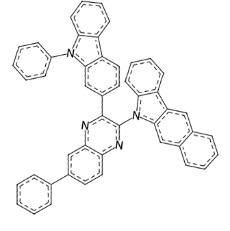 c1ccc(-c2ccc3nc(-n4c5ccccc5c5cc6ccccc6cc54)c(-c4ccc5c6ccccc6n(-c6ccccc6)c5c4)nc3c2)cc1